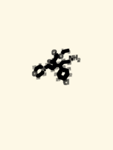 CCOC(=O)c1sc(N2CCOCC2)cc1C(CCN)c1ccc(Cl)cc1